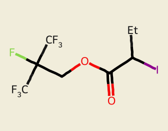 CCC(I)C(=O)OCC(F)(C(F)(F)F)C(F)(F)F